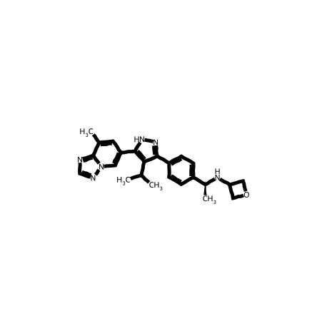 Cc1cc(-c2[nH]nc(-c3ccc([C@H](C)NC4COC4)cc3)c2C(C)C)cn2ncnc12